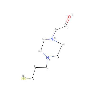 O=CCN1CCN(CCCS)CC1